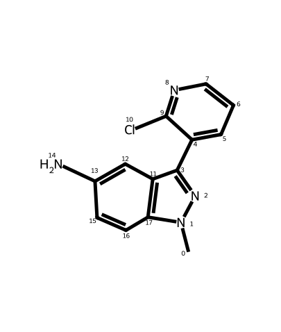 Cn1nc(-c2cccnc2Cl)c2cc(N)ccc21